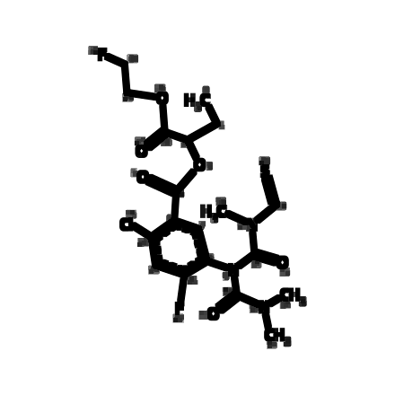 CCC(OC(=O)c1cc(N(C(=O)N(C)C)C(=O)N(C)C=S)c(F)cc1Cl)C(=O)OCCF